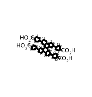 O=C(O)c1ccc(-c2ccc3c4ccc(-c5ccc(C(=O)O)cc5)cc4c4c5cc(-c6ccc(C(=O)O)cc6)ccc5c5ccc(-c6ccc(C(=O)O)cc6)cc5c4c3c2)cc1